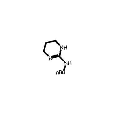 CCCCNC1=NCCCN1